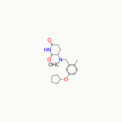 Cc1ccc(OC2CCCC2)cc1CN(C=O)C1CCC(=O)NC1=O